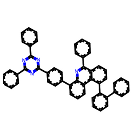 c1ccc(-c2nc(-c3ccccc3)nc(-c3ccc(-c4cccc5c4nc(-c4ccccc4)c4cccc(-c6ccccc6-c6ccccc6)c45)cc3)n2)cc1